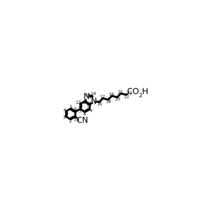 N#Cc1ccccc1-c1ccc2c(c1)ncn2CCCCCCCC(=O)O